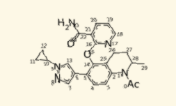 CC(=O)N1c2ccc(-c3cnn(C4CC4)c3)c(Oc3ncccc3C(N)=O)c2CCC1C